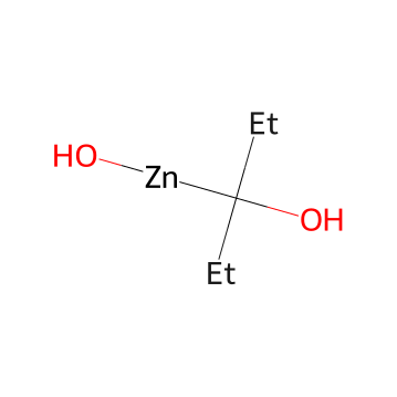 CC[C](O)(CC)[Zn][OH]